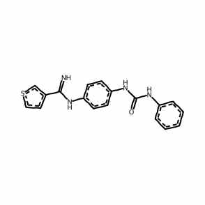 N=C(Nc1ccc(NC(=O)Nc2ccccc2)cc1)c1ccsc1